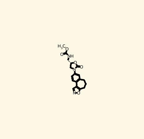 COC(=O)NC[C@H]1CN(c2ccc3c(c2)CCCc2oncc2-3)C(=O)O1